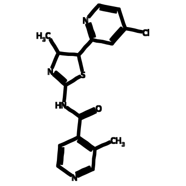 Cc1cnccc1C(=O)NC1=NC(C)C(c2cc(Cl)ccn2)S1